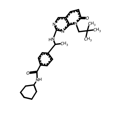 CC(Nc1ncc2ccc(=O)n(CC(C)(C)C)c2n1)c1ccc(C(=O)NC2CCCCC2)cc1